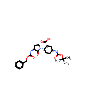 CC(C)(C)OC(=O)N[C@@H]1CC[C@H](N2CCC(NC(=O)OCc3ccccc3)C2=O)[C@H](C(=O)O)C1